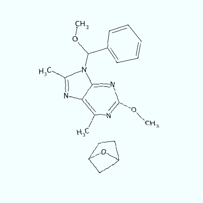 C1CC2CC1O2.COc1nc(C)c2nc(C)n(C(OC)c3ccccc3)c2n1